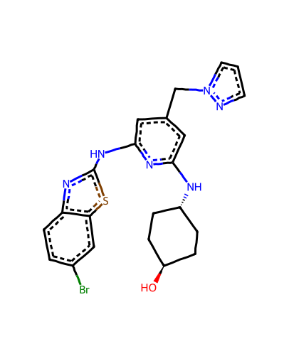 O[C@H]1CC[C@H](Nc2cc(Cn3cccn3)cc(Nc3nc4ccc(Br)cc4s3)n2)CC1